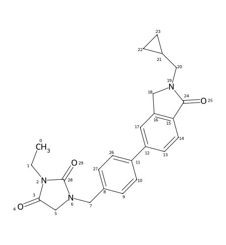 CCN1C(=O)CN(Cc2ccc(-c3ccc4c(c3)CN(CC3CC3)C4=O)cc2)C1=O